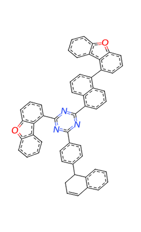 C1=Cc2ccccc2C(c2ccc(-c3nc(-c4cccc5c(-c6cccc7oc8ccccc8c67)cccc45)nc(-c4cccc5oc6ccccc6c45)n3)cc2)C1